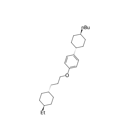 CCCC[C@H]1CC[C@H](c2ccc(OCCC[C@H]3CC[C@H](CC)CC3)cc2)CC1